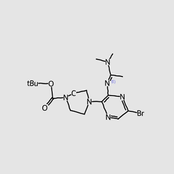 C/C(=N\c1nc(Br)cnc1N1CCN(C(=O)OC(C)(C)C)CC1)N(C)C